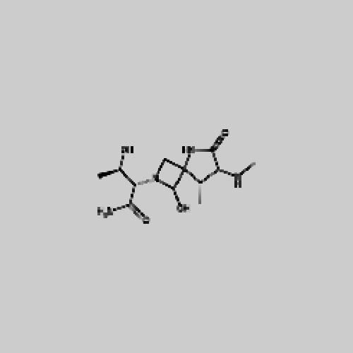 CNC1C(=O)NC2(CN([C@H](C(N)=O)[C@@H](C)O)C2O)C1C